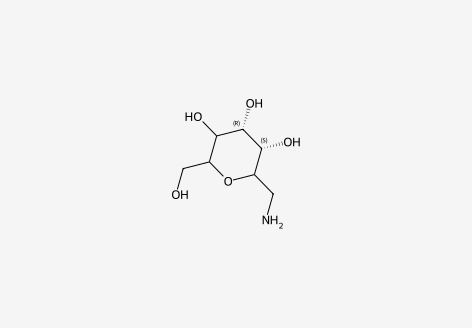 NCC1OC(CO)C(O)[C@H](O)[C@@H]1O